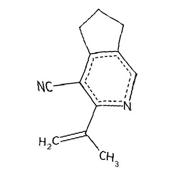 C=C(C)c1ncc2c(c1C#N)CCC2